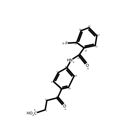 O=C(O)CCC(=O)c1ccc(NC(=O)c2ccccc2F)cc1